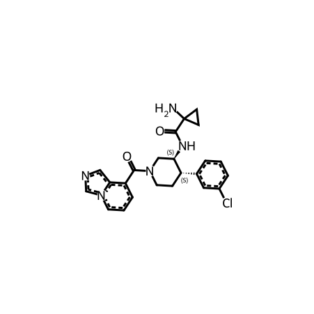 NC1(C(=O)N[C@@H]2CN(C(=O)c3cccn4cncc34)CC[C@H]2c2cccc(Cl)c2)CC1